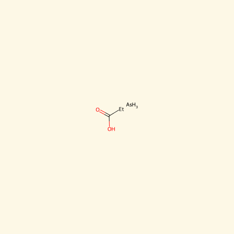 CCC(=O)O.[AsH3]